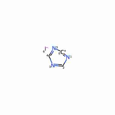 [C+]1=NC=NC=N1.[I-]